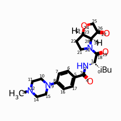 CC[C@@H](C)[C@H](NC(=O)c1ccc(N2CCN(C)CC2)cc1)C(=O)N1CC[C@H]2OCC(=O)[C@H]21